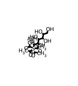 CC(=O)[SH](C(C)=O)(C(C)=O)(C(C)=O)C(=O)C(O)C(O)C(O)C(O)CO.[AsH3]